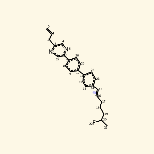 C=CCc1cnc(-c2ccc(-c3ccc(/C=C/CCCC(C)F)cc3)cc2)cn1